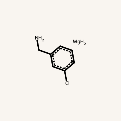 NCc1[c]ccc(Cl)c1.[MgH2]